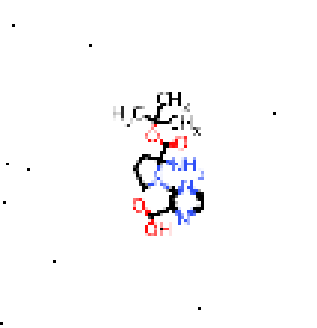 CC(C)(C)OC(=O)C1(N)CCCN1c1nccnc1C(=O)O